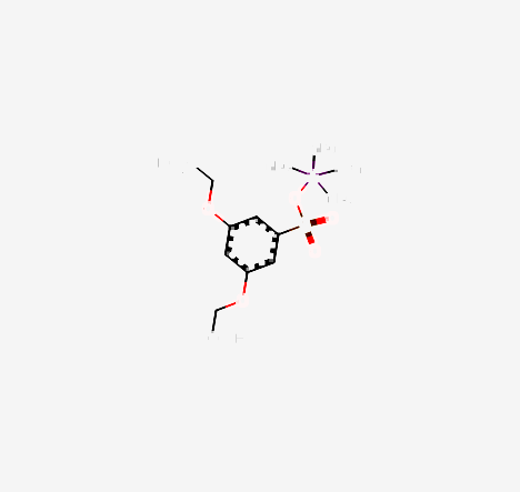 CCCCP(CCCC)(CCCC)(CCCC)OS(=O)(=O)c1cc(OCC(=O)O)cc(OCC(=O)O)c1